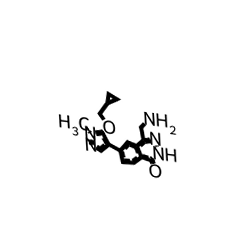 Cn1ncc(-c2ccc3c(=O)[nH]nc(CN)c3c2)c1OCC1CC1